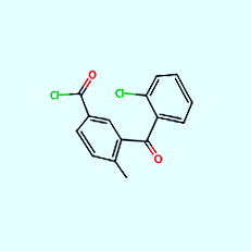 Cc1ccc(C(=O)Cl)cc1C(=O)c1ccccc1Cl